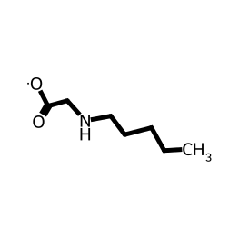 CCCCCNCC([O])=O